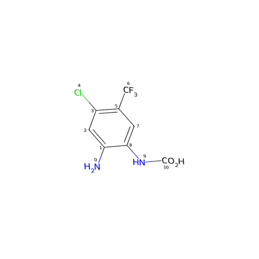 Nc1cc(Cl)c(C(F)(F)F)cc1NC(=O)O